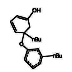 CCCCc1cccc(OC2(CCCC)C=CC=C(O)C2)c1